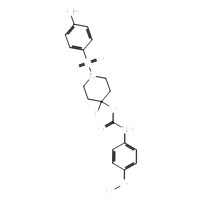 Cc1ccc(S(=O)(=O)N2CCC(F)(OC(=O)Nc3ccc(OC(C)C)cc3)CC2)cc1